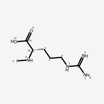 N=C(N)NCCC[C@H](NI)C(=O)O